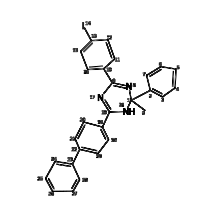 CC1(c2ccccc2)N=C(c2ccc(I)cc2)N=C(c2ccc(-c3ccccc3)cc2)N1